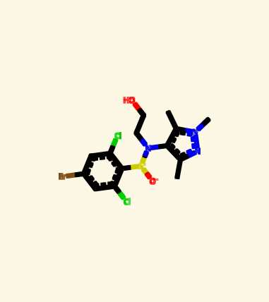 Cc1nn(C)c(C)c1N(CCO)[S+]([O-])c1c(Cl)cc(Br)cc1Cl